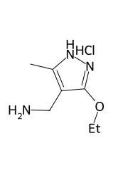 CCOc1n[nH]c(C)c1CN.Cl